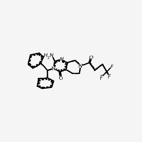 Nc1nc2c(c(=O)n1C(c1ccccc1)c1ccccc1)CCN(C(=O)CCC(F)(F)F)C2